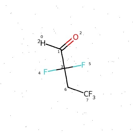 [2H]C(=O)C(F)(F)CC(F)(F)F